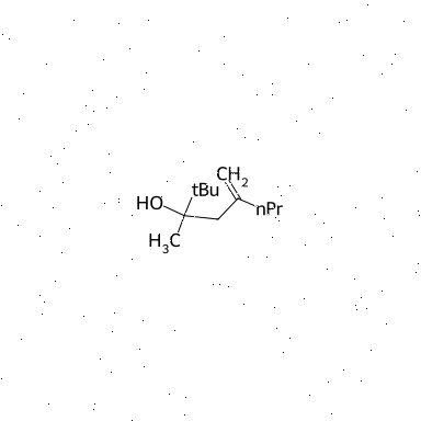 C=C(CCC)CC(C)(O)C(C)(C)C